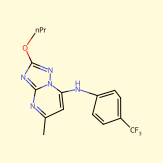 CCCOc1nc2nc(C)cc(Nc3ccc(C(F)(F)F)cc3)n2n1